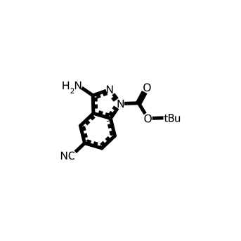 CC(C)(C)OC(=O)n1nc(N)c2cc(C#N)ccc21